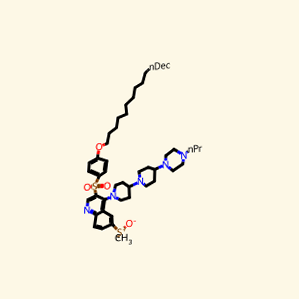 CCCCCCCCCCCCCCCCCCCCOc1ccc(S(=O)(=O)c2cnc3ccc([S+](C)[O-])cc3c2N2CCC(N3CCC(N4CCN(CCC)CC4)CC3)CC2)cc1